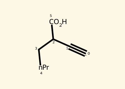 [C]#CC(CCCC)C(=O)O